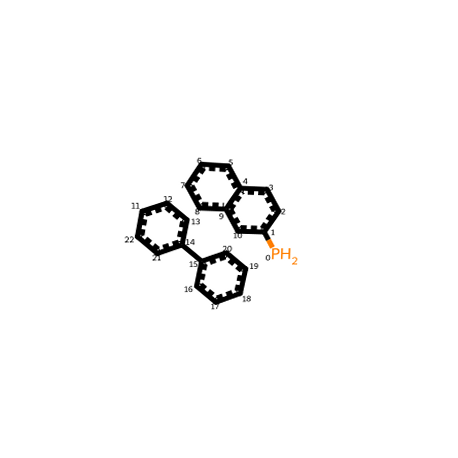 Pc1ccc2ccccc2c1.c1ccc(-c2ccccc2)cc1